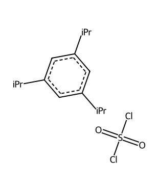 CC(C)c1cc(C(C)C)cc(C(C)C)c1.O=S(=O)(Cl)Cl